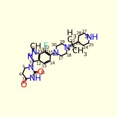 Cn1nc(N2CCC(=O)NC2=O)c2ccc(N3CCN(C(C)(C)C4CCNCC4)CC3)c(F)c21